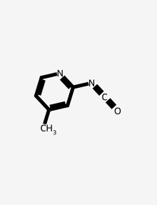 Cc1ccnc(N=C=O)c1